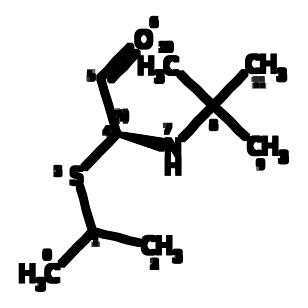 CC(C)S[C@@H](C=O)NC(C)(C)C